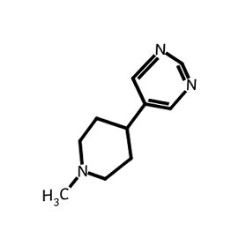 CN1CCC(c2cncnc2)CC1